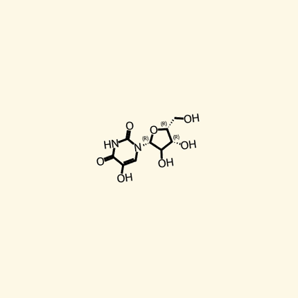 O=c1[nH]c(=O)n([C@@H]2O[C@H](CO)[C@H](O)C2O)cc1O